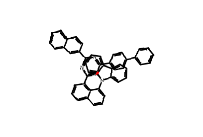 c1ccc(-c2ccc(-c3nc(-c4ccc5ccccc5c4)nc(-c4cccc5cccc(-n6c7ccccc7c7ccccc76)c45)n3)cc2)cc1